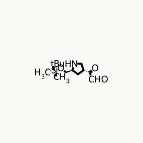 CC(C)(C)[Si](C)(C)OC[C@@H]1C[C@@H](C(=O)C=O)CN1